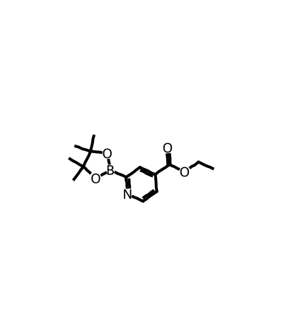 CCOC(=O)c1ccnc(B2OC(C)(C)C(C)(C)O2)c1